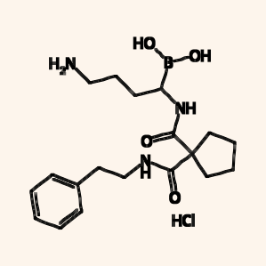 Cl.NCCCC(NC(=O)C1(C(=O)NCCc2ccccc2)CCCC1)B(O)O